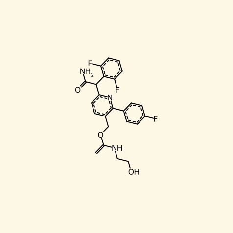 C=C(NCCO)OCc1ccc(C(C(N)=O)c2c(F)cccc2F)nc1-c1ccc(F)cc1